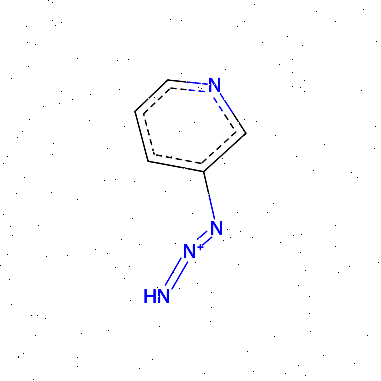 N=[N+]=Nc1cccnc1